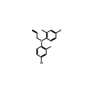 C=CCN(c1ccc(Br)cc1C)c1ccc(I)cc1C